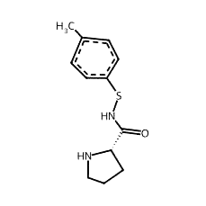 Cc1ccc(SNC(=O)[C@@H]2CCCN2)cc1